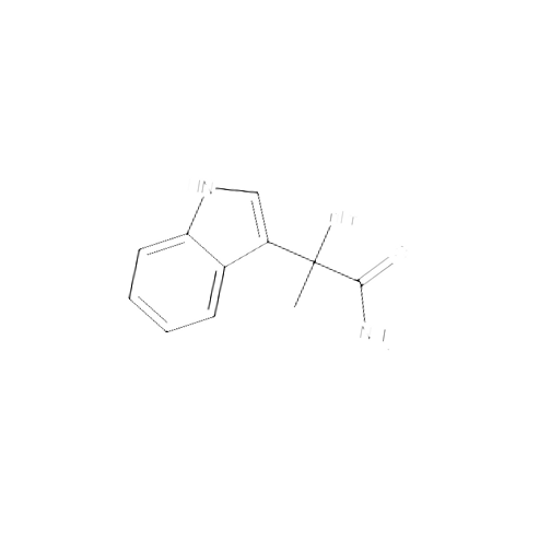 CCCC(C)(C(N)=O)c1c[nH]c2ccccc12